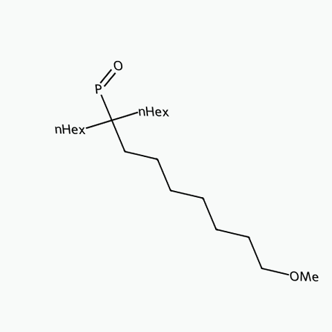 CCCCCCC(CCCCCC)(CCCCCCCOC)P=O